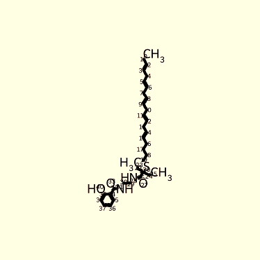 CCC=CCC=CCC=CCC=CCC=CCCCCSC(CC)(CC)C(=O)NCCNC(=O)c1ccccc1O